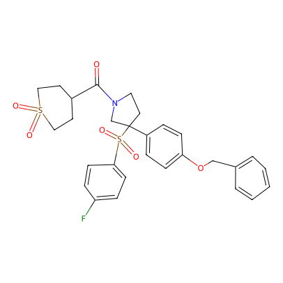 O=C(C1CCS(=O)(=O)CC1)N1CCC(c2ccc(OCc3ccccc3)cc2)(S(=O)(=O)c2ccc(F)cc2)C1